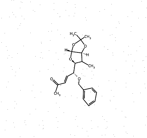 CC(=O)/C=C/[C@@H](OCc1ccccc1)[C@H]1O[C@@H]2OC(C)(C)O[C@H]2C1C